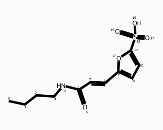 CCCCNC(=O)/C=C/c1ccc(S(=O)(=O)O)o1